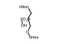 CCCCCCCCCCCCOCCCCCC.O=S(=O)(O)O